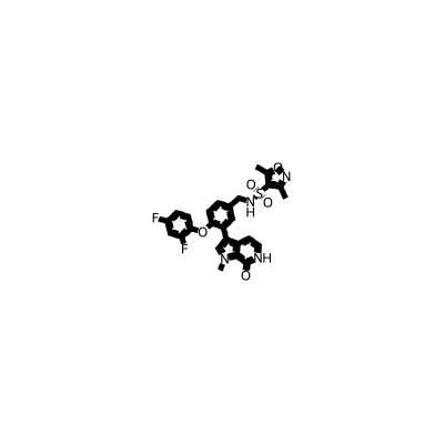 Cc1noc(C)c1S(=O)(=O)NCc1ccc(Oc2ccc(F)cc2F)c(-c2cn(C)c3c(=O)[nH]ccc23)c1